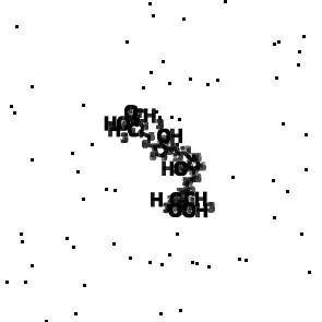 CC(C)(CCCCC1CCC(CCCC2CCC(CCCCC(C)(C)C(=O)O)C2O)C1O)C(=O)O